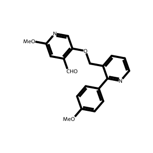 COc1ccc(-c2ncccc2COc2cnc(OC)cc2C=O)cc1